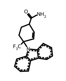 NC(=O)C1C=CC(n2c3ccccc3c3ccccc32)(C(F)(F)F)CC1